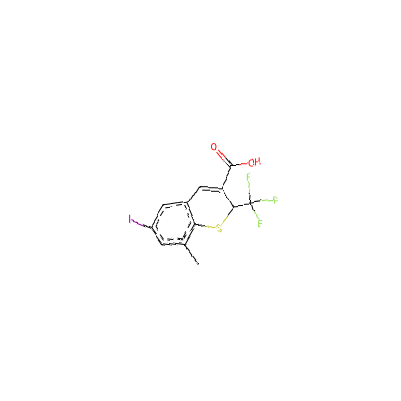 Cc1cc(I)cc2c1SC(C(F)(F)F)C(C(=O)O)=C2